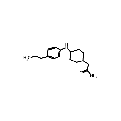 CCCc1ccc(NC2CCC(CC(N)=O)CC2)cc1